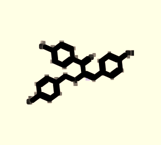 O=C(/C(=C\c1ccc(O)cc1)SCc1ccc(Cl)cc1)c1ccc(Cl)cc1